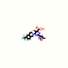 Cc1cc(-c2nc(C(=O)O)c(C)c(N3CCc4cc(C(F)(F)F)ccc4C3)n2)no1